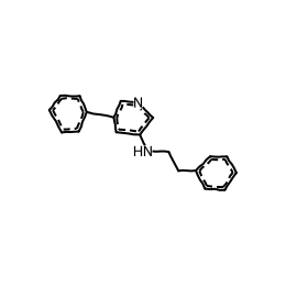 c1ccc(CCNc2cncc(-c3ccccc3)c2)cc1